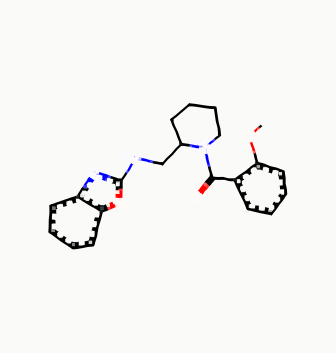 COc1ccccc1C(=O)N1CCCCC1CNc1nc2ccccc2o1